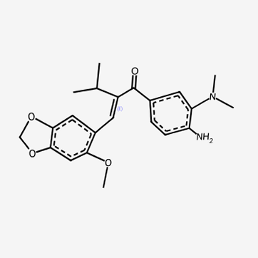 COc1cc2c(cc1/C=C(/C(=O)c1ccc(N)c(N(C)C)c1)C(C)C)OCO2